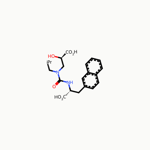 CC(C)CN(C[C@@H](O)C(=O)O)C(=O)N[C@H](Cc1ccc2ccccc2c1)C(=O)O